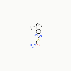 CC(C)c1ccc2nc(SCC(N)=O)[nH]c2c1